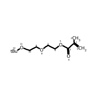 C=C(C)C(=O)OCCOCCOC(C)(C)C